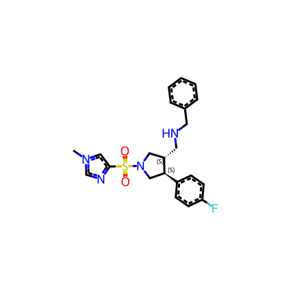 Cn1cnc(S(=O)(=O)N2C[C@H](CNCc3ccccc3)[C@@H](c3ccc(F)cc3)C2)c1